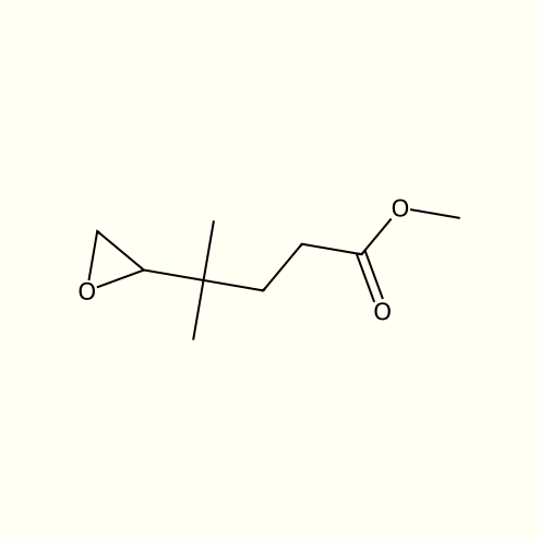 COC(=O)CCC(C)(C)C1CO1